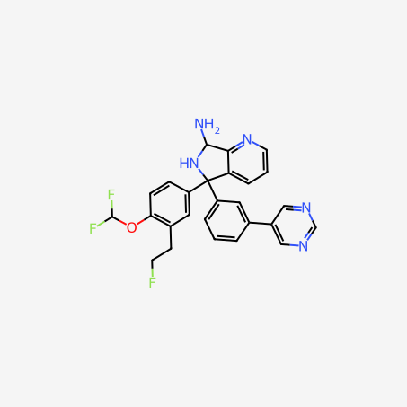 NC1NC(c2cccc(-c3cncnc3)c2)(c2ccc(OC(F)F)c(CCF)c2)c2cccnc21